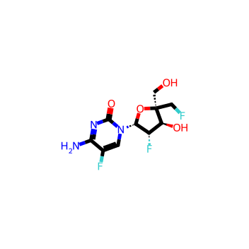 Nc1nc(=O)n([C@@H]2O[C@@](CO)(CF)[C@@H](O)[C@@H]2F)cc1F